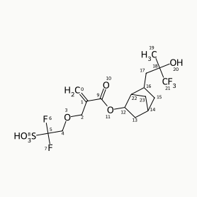 C=C(COCC(F)(F)S(=O)(=O)O)C(=O)OC1CC2CC(CC(C)(O)C(F)(F)F)C1C2